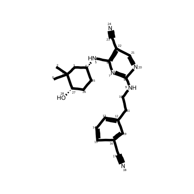 CC1(C)C[C@H](Nc2nc(NCCc3cccc(C#N)c3)ncc2C#N)CC[C@@H]1O